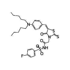 CCCCCN(CCCCC)c1ccc(C=C2SC(=S)N(CC(=O)NS(=O)(=O)c3ccc(F)cc3)C2=O)cc1